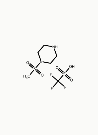 CS(=O)(=O)N1CCNCC1.O=S(=O)(O)C(F)(F)F